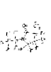 O=C1N(C(F)(F)C(F)(F)C(F)(F)F)C(F)(F)C(F)(C(F)(F)F)C1(F)C(F)(F)F